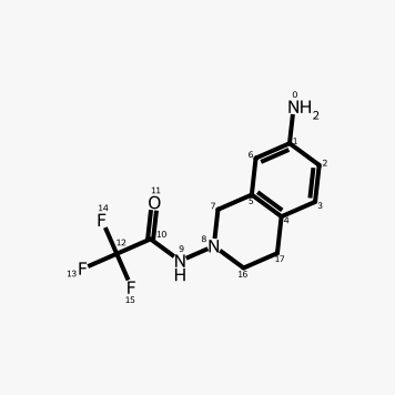 Nc1ccc2c(c1)CN(NC(=O)C(F)(F)F)CC2